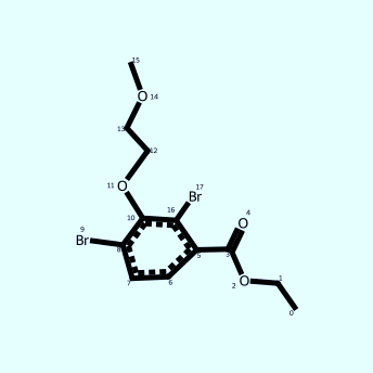 CCOC(=O)c1ccc(Br)c(OCCOC)c1Br